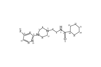 O=C(NCCN1CCN(c2cc(F)ccn2)CC1)C1CCCCC1